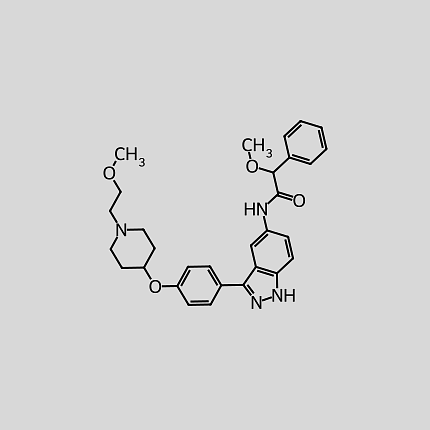 COCCN1CCC(Oc2ccc(-c3n[nH]c4ccc(NC(=O)C(OC)c5ccccc5)cc34)cc2)CC1